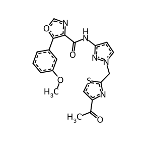 COc1cccc(-c2ocnc2C(=O)Nc2ccn(Cc3nc(C(C)=O)cs3)n2)c1